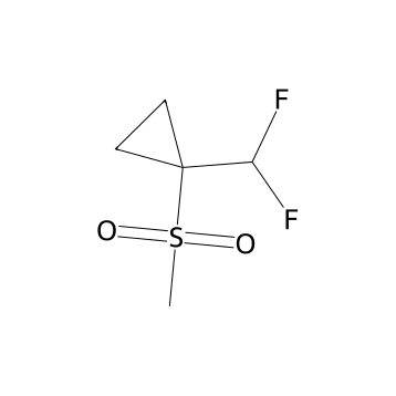 CS(=O)(=O)C1(C(F)F)CC1